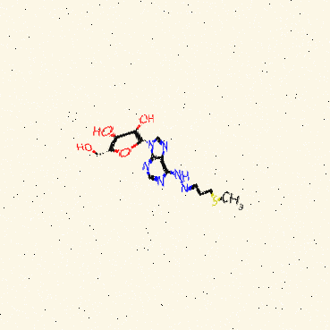 CSCCC=NNc1ncnc2c1ncn2[C@@H]1O[C@H](CO)[C@@H](O)[C@H]1O